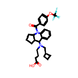 O=C(O)CCCN(CC1CCC1)C1c2ccccc2N(C(=O)c2ccc(OC(F)(F)F)cc2)C2CCCC12